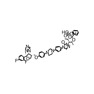 CC[C@@H]([C@H](C)OC(OP(=O)(O)O)c1ccccc1)n1ncn(-c2ccc(N3CCN(c4ccc(OC[C@@H]5CO[C@@](Cn6cncn6)(c6ccc(F)cc6F)C5)cc4)CC3)cc2)c1=O